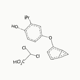 CC(C)c1cc(Oc2ccc3cc2-3)ccc1O.O=C(O)C(Cl)Cl